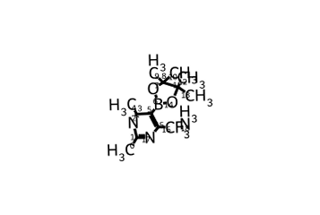 Cc1nc(C)c(B2OC(C)(C)C(C)(C)O2)c(C(F)(F)F)n1.N